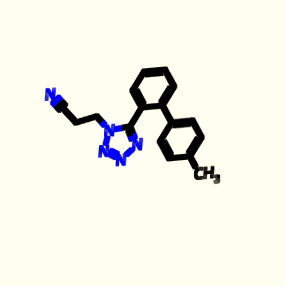 Cc1ccc(-c2ccccc2-c2nnnn2CCC#N)cc1